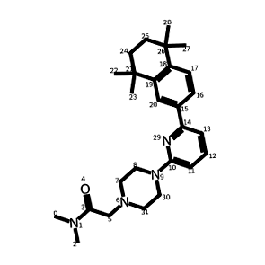 CN(C)C(=O)CN1CCN(c2cccc(-c3ccc4c(c3)C(C)(C)CCC4(C)C)n2)CC1